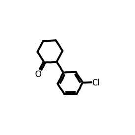 O=C1CCCCC1c1cccc(Cl)c1